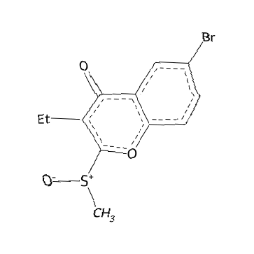 CCc1c([S+](C)[O-])oc2ccc(Br)cc2c1=O